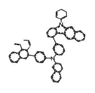 C=Cc1c(/C=C\C)c(-c2ccc(N(c3cccc(-c4cccc5c4c4cc6ccccc6cc4n5C4=CCCC=C4)c3)c3ccc4ccccc4c3)cc2)cc2ccccc12